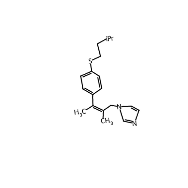 CC(Cn1ccnc1)=C(C)c1ccc(SCCC(C)C)cc1